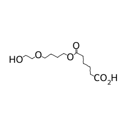 O=C(O)CCCCC(=O)OCCCCOCCO